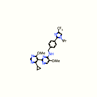 COc1cnc(-c2c(OC)ncnc2C2CC2)nc1NCc1ccc(-c2nc(C(F)(F)F)cn2C(C)C)cc1